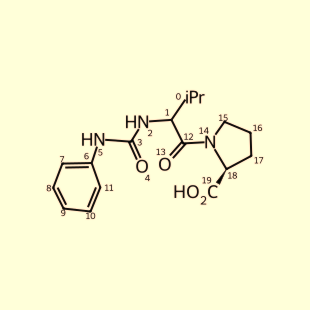 CC(C)C(NC(=O)Nc1ccccc1)C(=O)N1CCC[C@H]1C(=O)O